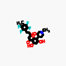 Cc1c(F)c(F)c(/C=C/c2cc(=O)c3c(O)cc(O)c(C4CCN(C)CC4O)c3o2)c(F)c1F